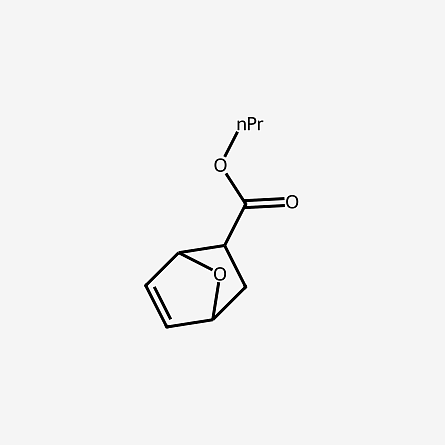 CCCOC(=O)C1CC2C=CC1O2